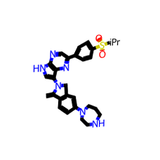 C=C1c2ccc(N3CCCNCC3)cc2CN1c1c[nH]c2ncc(-c3ccc(S(=O)(=O)C(C)C)cc3)nc12